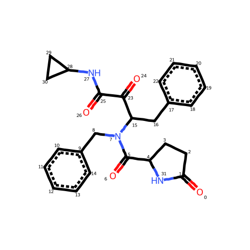 O=C1CCC(C(=O)N(Cc2ccccc2)C(Cc2ccccc2)C(=O)C(=O)NC2CC2)N1